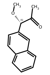 CO[C@H](C(C)=O)c1ccc2ccccc2c1